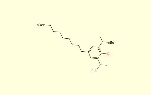 CCCCCCCCCCCCCCCCCCc1cc(C(C)CCCC)c([O])c(C(C)CCCC)c1